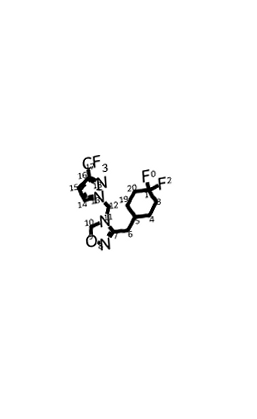 FC1(F)CCC(CC2=NOCN2Cn2ccc(C(F)(F)F)n2)CC1